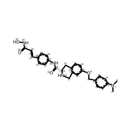 CN(C)c1ccc(COc2ccc3c(c2)CN[C@H](C(=O)Nc2ccc(/C=C/C(=O)NO)cc2)C3)cc1